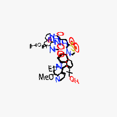 CCn1c(-c2cccnc2[C@H](C)OC)c(CC(C)(C)CO)c2cc(N3CCS(=O)(=O)C(CC(NC(=O)[C@H](C(C)C)N(C)C(=O)OCc4ccccc4)C(=O)N4CCC[C@@H](C(=O)O)N4)C3)ccc21